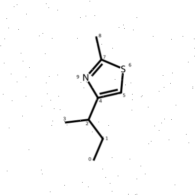 CCC(C)c1csc(C)n1